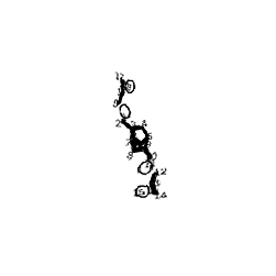 C(OCC1CC2CC1CC2COCC1CO1)C1CO1